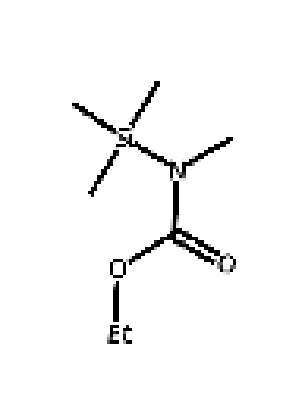 CCOC(=O)N(C)[Si](C)(C)C